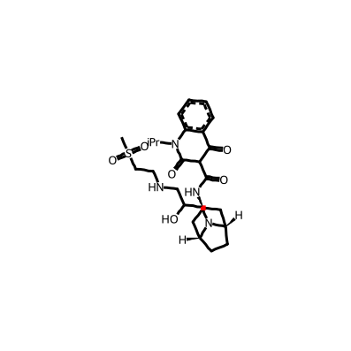 CC(C)N1C(=O)C(C(=O)N[C@@H]2C[C@H]3CC[C@@H](C2)N3CC(O)CNCCS(C)(=O)=O)C(=O)c2ccccc21